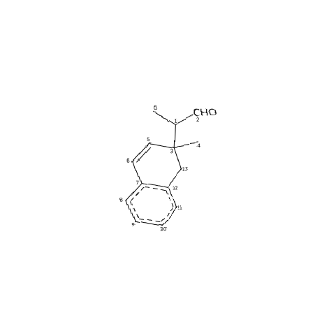 CC(C=O)C1(C)C=Cc2ccccc2C1